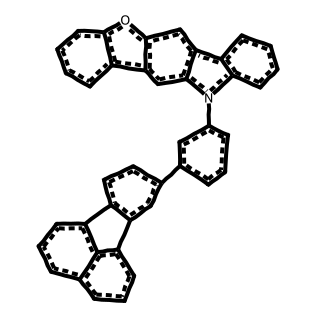 c1cc(-c2ccc3c(c2)-c2cccc4cccc-3c24)cc(-n2c3ccccc3c3cc4oc5ccccc5c4cc32)c1